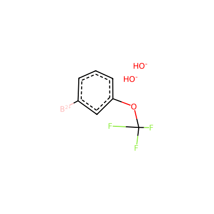 [B+2]c1cccc(OC(F)(F)F)c1.[OH-].[OH-]